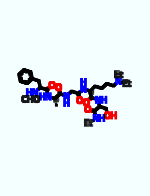 CCNC(=O)C(CO)NC(=O)[C@H](CCCCN(CC)CC)NC(=O)CNC(=O)[C@H](C)NC(=O)C(Cc1ccccc1)NC=O